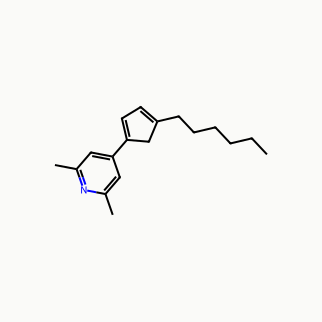 CCCCCCC1=CC=C(c2cc(C)nc(C)c2)C1